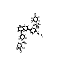 COc1ncc(-c2ccc3nccc(-c4ccc(C(=O)N5CC6C[C@@H]5C(=O)O6)cc4)c3c2)cc1NS(=O)(=O)c1ccc(F)cc1F